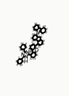 C1=CC(C2=NC(c3ccccc3)NC(C3=c4c(oc5c(-c6cccc7c6-c6cccc(-n8c9c(c%10ccccc%108)CCCC9)c6C7)cccc45)=CCC3)N2)=CCC1